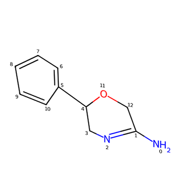 NC1=NCC(c2ccccc2)OC1